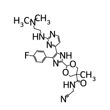 CN(C)CCNc1nccc(-c2[nH]c(C3OCC(C)(C(=O)NCC#N)CO3)nc2-c2ccc(F)cc2)n1